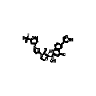 C[C@]1([C@@H](O)c2nc(=O)c3cc(-c4cn[nH]c4)ccc3[nH]2)OCCN(c2ccn(-c3cnnc(C(F)(F)F)c3)n2)C1=O